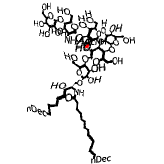 CCCCCCCCCCCCC/C=C/[C@@H](O)[C@H](CO[C@@H]1OC(CO)[C@@H](O[C@@H]2OC(CO)[C@H](O[C@@H]3OC(CO)[C@H](O)[C@H](O)C3NC(C)=O)[C@H](O[C@H]3OC(CO)[C@H](O)[C@H](O[C@@H]4OC(CO)[C@@H](O[C@@H]5OC(CO)[C@H](O)[C@H](O)C5O)[C@H](O)C4NC(C)=O)C3O)C2O)[C@H](O)C1O)NC(=O)CCCCCCCCCCCCCCCCCCCCC